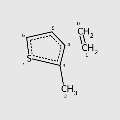 C=C.Cc1cccs1